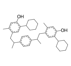 Cc1cc(O)c(C2CCCCC2)cc1CC(C)c1ccc(C(C)Cc2cc(C3CCCCC3)c(O)cc2C)cc1